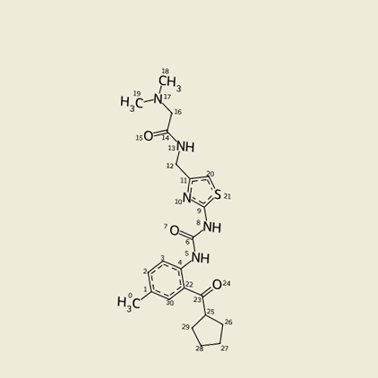 Cc1ccc(NC(=O)Nc2nc(CNC(=O)CN(C)C)cs2)c(C(=O)C2CCCC2)c1